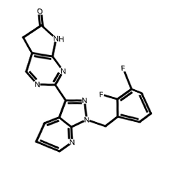 O=C1Cc2cnc(-c3nn(Cc4cccc(F)c4F)c4ncccc34)nc2N1